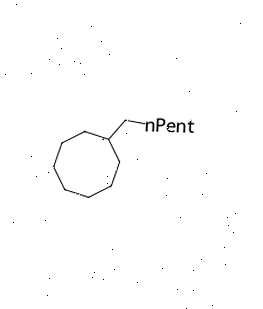 CCCCCC[C]1CCCCCCC1